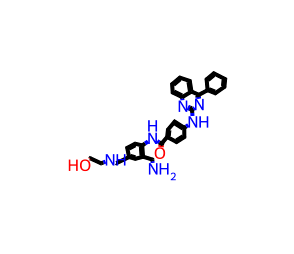 NCc1cc(CNCCO)ccc1NC(=O)c1ccc(Nc2nc(-c3ccccc3)c3ccccc3n2)cc1